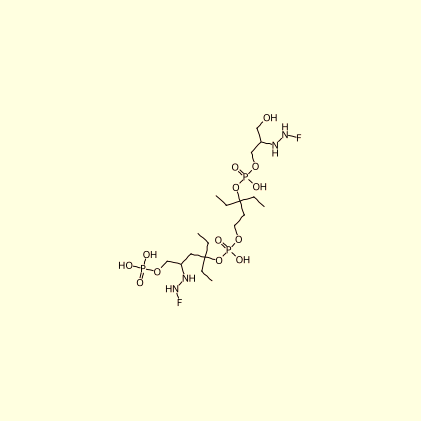 CCC(CC)(CCOP(=O)(O)OC(CC)(CC)CC(COP(=O)(O)O)NNF)OP(=O)(O)OCC(CO)NNF